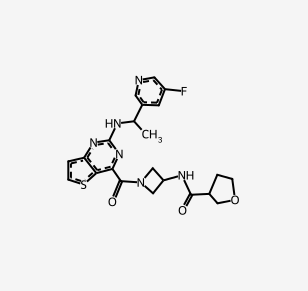 CC(Nc1nc(C(=O)N2CC(NC(=O)C3CCOC3)C2)c2sccc2n1)c1cncc(F)c1